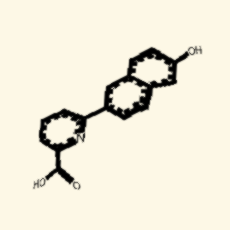 O=C(O)c1cccc(-c2ccc3cc(O)ccc3c2)n1